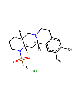 Cc1cc2c(cc1C)[C@@H]1C[C@H]3[C@H](CCCN3S(C)(=O)=O)CN1CC2.Cl